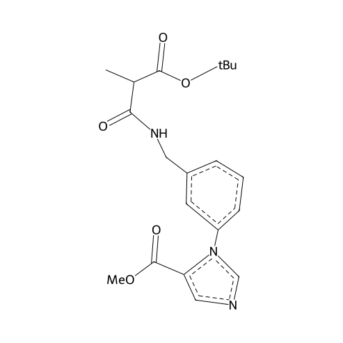 COC(=O)c1cncn1-c1cccc(CNC(=O)C(C)C(=O)OC(C)(C)C)c1